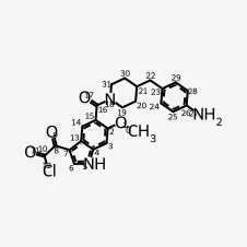 COc1cc2[nH]cc(C(=O)C(=O)Cl)c2cc1C(=O)N1CCC(Cc2ccc(N)cc2)CC1